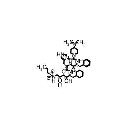 CCCS(=O)(=O)NC[C@H](O)C[C@H](O)[C@H](CC1CCCCC1)NC(=O)[C@H](Cc1c[nH]cn1)NC(=O)[C@H](Cc1ccccc1)NC(=O)N1CCC(N(C)C)CC1